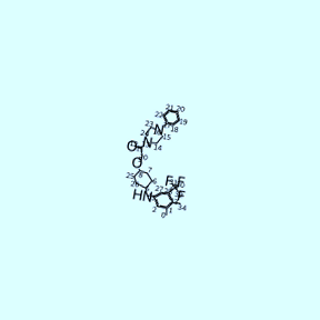 Cc1cc(NC2CCC(OCC(=O)N3CCN(c4ccccc4)CC3)CC2)cc(C(F)(F)F)c1C